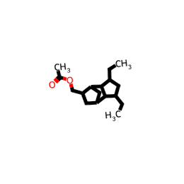 CCC1CC(CC)C2C3CC(CC3COC(C)=O)C12